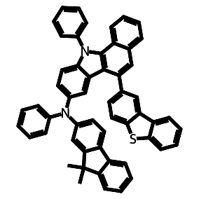 CC1(C)c2ccccc2-c2ccc(N(c3ccccc3)c3ccc4c(c3)c3c(-c5ccc6sc7ccccc7c6c5)cc5ccccc5c3n4-c3ccccc3)cc21